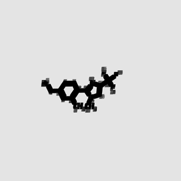 Cc1cc(CBr)ccc1-c1nc(C(F)(F)F)cn1C